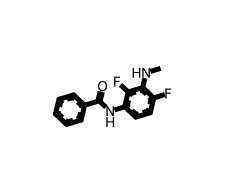 CNc1c(F)ccc(NC(=O)c2ccccc2)c1F